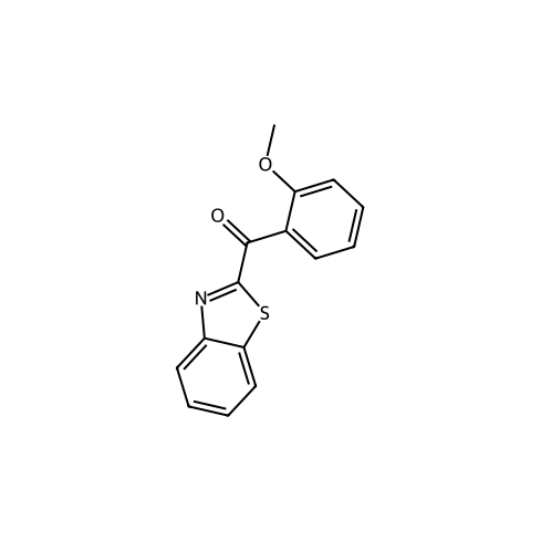 COc1ccccc1C(=O)c1nc2ccccc2s1